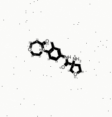 Cc1cc(NC(=O)C2(N)CCOC2)ccc1N1CCOCCC1=O